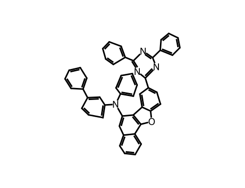 c1ccc(-c2cccc(N(c3ccccc3)c3cc4ccccc4c4oc5ccc(-c6nc(-c7ccccc7)nc(-c7ccccc7)n6)cc5c34)c2)cc1